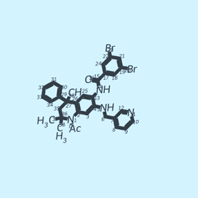 CC(=O)N1c2cc(NCc3cccnc3)c(NC(=O)c3cc(Br)cc(Br)c3)cc2C(C)(c2ccccc2)CC1(C)C